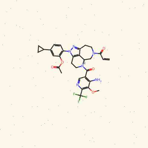 C=CC(=O)N1CCc2nn(-c3ccc(C4CC4)cc3OC(C)=O)c3c2[C@H](C1)N(C(=O)c1cnc(C(F)(F)F)c(OC)c1N)CC3